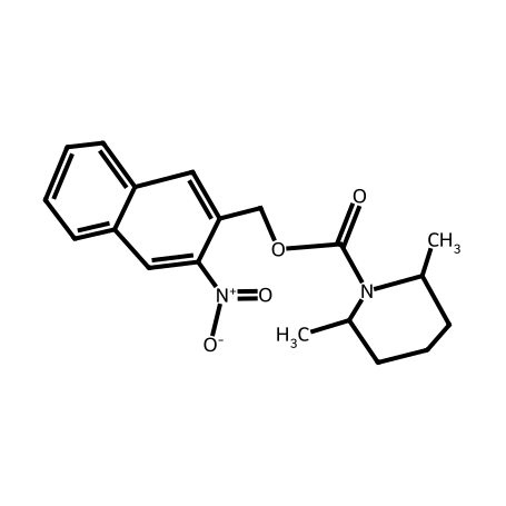 CC1CCCC(C)N1C(=O)OCc1cc2ccccc2cc1[N+](=O)[O-]